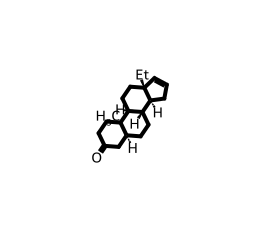 CC[C@@]12C=CC[C@H]1[C@@H]1CC[C@H]3CC(=O)CC[C@]3(C)[C@H]1CC2